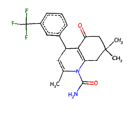 CC1=[C]C(c2cccc(C(F)(F)F)c2)C2=C(CC(C)(C)CC2=O)N1C(N)=O